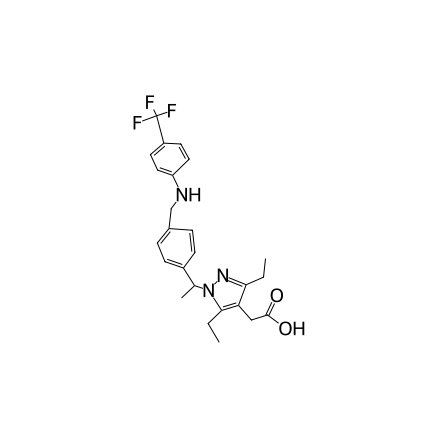 CCc1nn(C(C)c2ccc(CNc3ccc(C(F)(F)F)cc3)cc2)c(CC)c1CC(=O)O